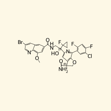 COc1cc(C(=O)NC[C@](O)(c2cc3c(c(-c4cc(Cl)c(F)cc4F)n2)OC[C@]3(C)C(N)=O)C2(F)CC2)cc2cc(Br)cnc12